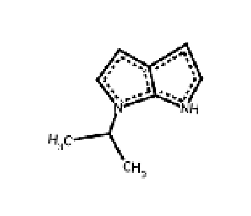 CC(C)n1ccc2cc[nH]c21